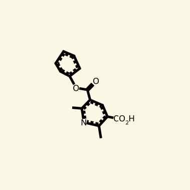 Cc1nc(C)c(C(=O)Oc2ccccc2)cc1C(=O)O